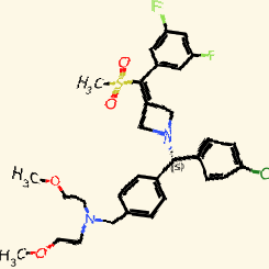 COCCN(CCOC)Cc1ccc([C@@H](c2ccc(Cl)cc2)N2CC(=C(c3cc(F)cc(F)c3)S(C)(=O)=O)C2)cc1